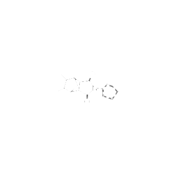 CC1C(C)C2CC1C1C(=O)N(c3ccccc3)C(=O)C21